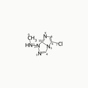 CNn1ncn2c(Cl)cnc12